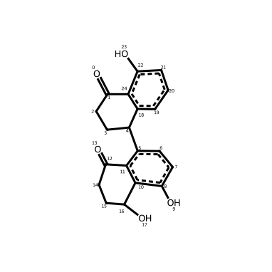 O=C1CCC(c2ccc(O)c3c2C(=O)CCC3O)c2cccc(O)c21